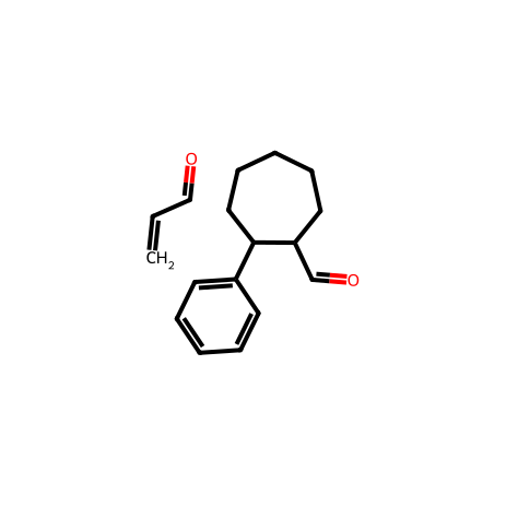 C=CC=O.O=CC1CCCCCC1c1ccccc1